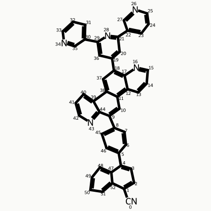 N#Cc1ccc(-c2ccc(-c3cc4c5cccnc5c(-c5cc(-c6cccnc6)nc(-c6cccnc6)c5)cc4c4cccnc34)cc2)c2ccccc12